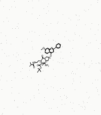 COc1ccc2c(O[C@@H]3C[C@@H](C(N)=O)N(C(=O)[C@H](CCNC(=O)C(C)C)NC(=O)OC(C)(C)C)C3)cc(-c3ccccc3)nc2c1